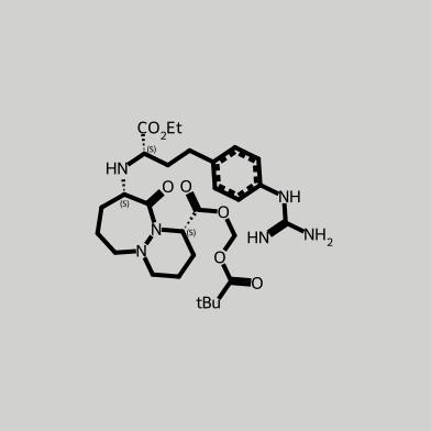 CCOC(=O)[C@H](CCc1ccc(NC(=N)N)cc1)N[C@H]1CCCN2CCC[C@@H](C(=O)OCOC(=O)C(C)(C)C)N2C1=O